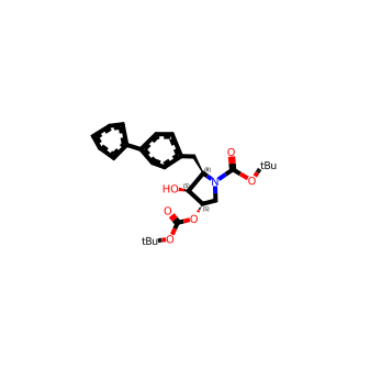 CC(C)(C)OC(=O)O[C@H]1CN(C(=O)OC(C)(C)C)[C@H](Cc2ccc(-c3ccccc3)cc2)[C@@H]1O